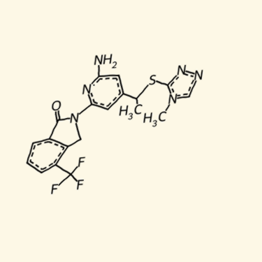 CC(Sc1nncn1C)c1cc(N)nc(N2Cc3c(cccc3C(F)(F)F)C2=O)c1